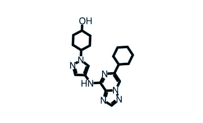 OC1CCC(n2cc(Nc3nc(C4CCCCC4)cn4ncnc34)cn2)CC1